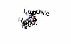 C=C(/C=C/C=C1/N(C)c2ccc(OC)cc2C12CCCCC2)C(C)(Cc1cccc(Br)c1)c1c(C)ccc2ccccc12